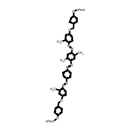 CCCCCOc1ccc(COc2ccc(N=Nc3ccc(N=Nc4cc(C)c(N=Nc5ccc(OCc6ccc(OCCCCC)cc6)cc5C)cc4C)cc3)c(C)c2)cc1